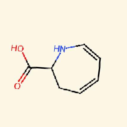 O=C(O)C1CC=CC=CN1